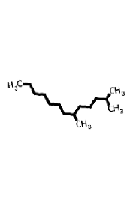 CCCCCCCC(C)C[CH]CC(C)C